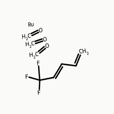 C=CC=CC(F)(F)F.C=O.C=O.C=O.[Ru]